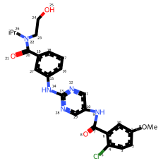 COc1ccc(Cl)c(C(=O)Nc2cnc(Nc3cccc(C(=O)N(CCO)C(C)C)c3)nc2)c1